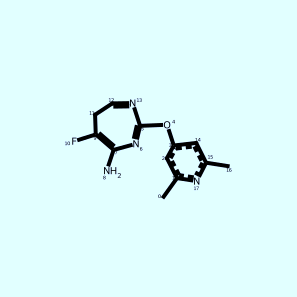 Cc1cc(OC2=NC(N)=C(F)CC=N2)cc(C)n1